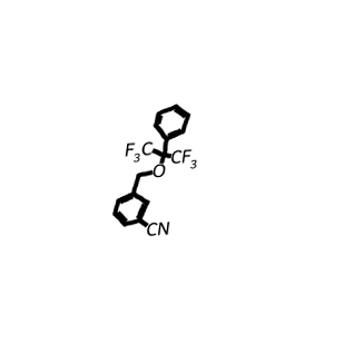 N#Cc1cccc(COC(c2ccccc2)(C(F)(F)F)C(F)(F)F)c1